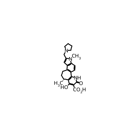 C[C@@H]1CCc2c(ccc3c2cc(CN2CCCC2)n3C)-c2[nH]c(=O)c(C(=O)O)c(O)c21